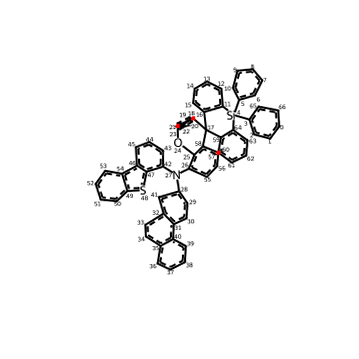 c1ccc([Si]2(c3ccccc3)c3ccccc3C3(c4ccccc4Oc4c(N(c5ccc6c(ccc7ccccc76)c5)c5cccc6c5sc5ccccc56)cccc43)c3ccccc32)cc1